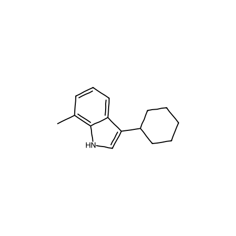 Cc1cccc2c(C3CCCCC3)c[nH]c12